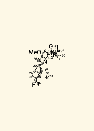 COc1cc(C(=O)N2C[C@@]3(C)CC[C@@H]2[C@@H]3N)cc2nc(-c3cc4ccc(C(F)F)nc4n3CC3CC3)n(C)c12